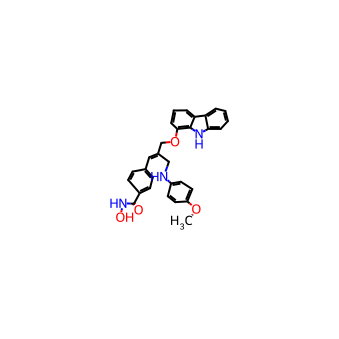 COc1ccc(NCC(=Cc2ccc(C(=O)NO)cc2)COc2cccc3c2[nH]c2ccccc23)cc1